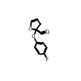 O=CC1(Oc2ccc(F)cc2)CC=CO1